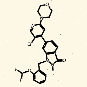 Cn1c(=O)c2ccc(-c3cc(N4CCOCC4)ncc3Cl)cc2n1Cc1ccccc1OC(F)F